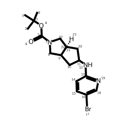 CC(C)(C)OC(=O)N1CC2CC(Nc3ccc(Br)cn3)C[C@@H]2C1